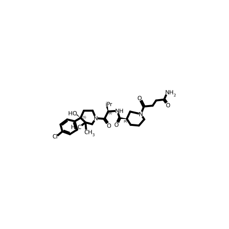 CC(C)[C@@H](NC(=O)[C@@H]1CCCN(C(=O)CCC(N)=O)C1)C(=O)N1CC[C@](O)(c2ccc(Cl)cc2)C(C)(C)C1